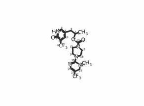 CC(Cc1c[nH]c(=O)c(C(F)(F)F)c1)OC(=O)N1CCN(C2=NC=C(C(F)(F)F)CN2C)CC1